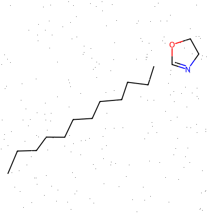 C1=NCCO1.CCCCCCCCCCCC